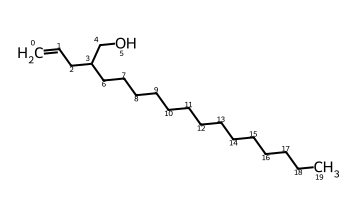 C=CCC(CO)CCCCCCCCCCCCCC